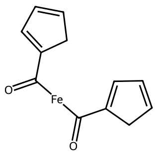 O=[C]([Fe][C](=O)C1=CC=CC1)C1=CC=CC1